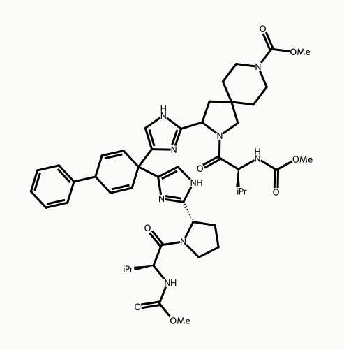 COC(=O)N[C@H](C(=O)N1CC2(CCN(C(=O)OC)CC2)CC1c1nc(C2(c3c[nH]c([C@@H]4CCCN4C(=O)[C@@H](NC(=O)OC)C(C)C)n3)C=CC(c3ccccc3)C=C2)c[nH]1)C(C)C